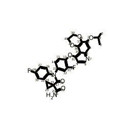 CC(C)Oc1cc2nccc(Oc3ccc(N(C(=O)C4(C(N)=O)CC4)c4ccc(F)cc4)cc3F)c2c2c1OCCO2